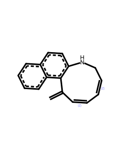 C=C1/C=C\C=C/CNc2ccc3ccccc3c21